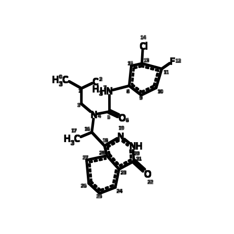 CC(C)CN(C(=O)Nc1ccc(F)c(Cl)c1)C(C)c1n[nH]c(=O)c2ccccc12